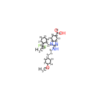 COc1ccc(CCCNc2nc3cc(C(=O)O)ccc3n2Cc2ccccc2C(C)(F)F)cc1